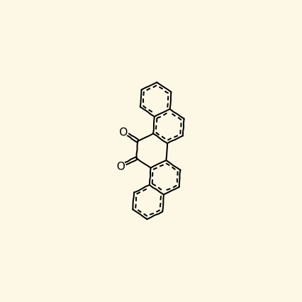 O=C1C(=O)c2c(ccc3ccccc23)-c2ccc3ccccc3c21